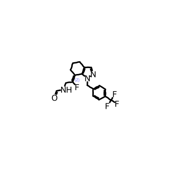 O=CNC/C(F)=C1\CCCc2cnn(Cc3ccc(C(F)(F)F)cc3)c21